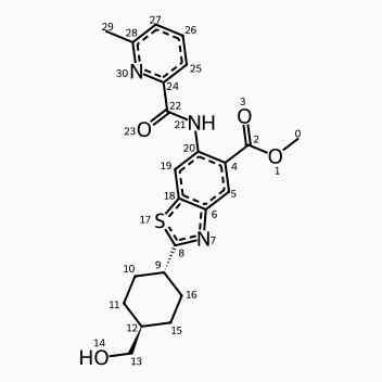 COC(=O)c1cc2nc([C@H]3CC[C@H](CO)CC3)sc2cc1NC(=O)c1cccc(C)n1